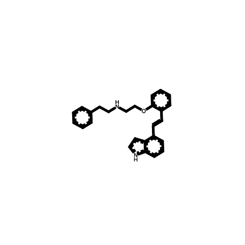 C(=Cc1cccc2[nH]ccc12)c1ccccc1OCCNCCc1ccccc1